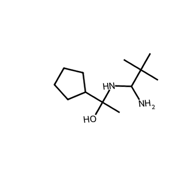 CC(C)(C)C(N)NC(C)(O)C1CCCC1